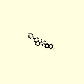 O=C(CN1CCC[C@H](NS(=O)(=O)c2ccc3cc(Cl)ccc3c2)C1=O)N1CCOCC1